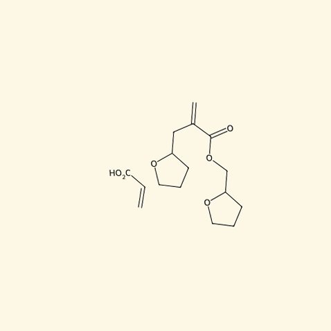 C=C(CC1CCCO1)C(=O)OCC1CCCO1.C=CC(=O)O